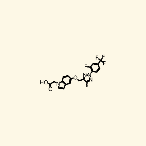 Cc1nn(-c2ccc(C(F)(F)F)cc2F)nc1COc1ccc2c(ccn2CC(=O)O)c1